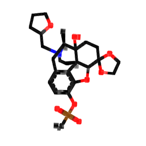 CS(=O)(=O)Oc1ccc2c3c1OC1C4(CCC5(O)[C@@H](C2)N(CC2CCCO2)CC[C@]315)OCCO4